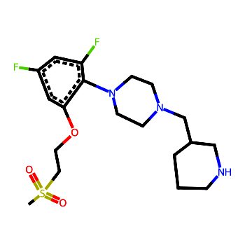 CS(=O)(=O)CCOc1cc(F)cc(F)c1N1CCN(CC2CCCNC2)CC1